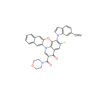 COc1ccc2ccn(-c3c(F)cc4c(=O)c(C(=O)N5CCOCC5)cn5c4c3Oc3cc4ccccc4cc3-5)c2c1